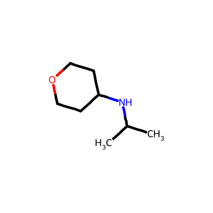 CC(C)NC1CCOCC1